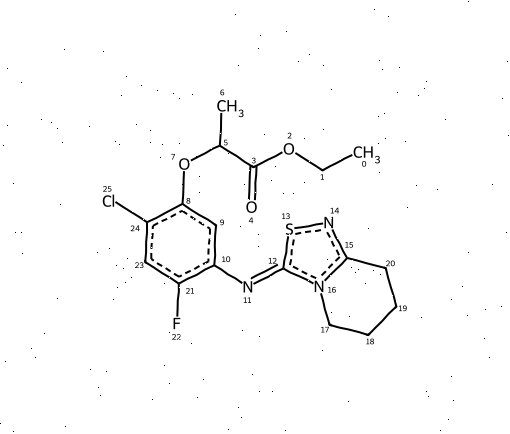 CCOC(=O)C(C)Oc1cc(N=c2snc3n2CCCC3)c(F)cc1Cl